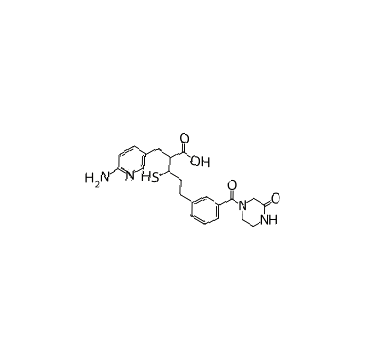 Nc1ccc(CC(C(=O)O)C(S)CCc2cccc(C(=O)N3CCNC(=O)C3)c2)cn1